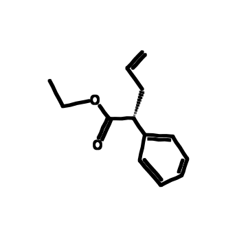 C=CC[C@@H](C(=O)OCC)c1ccccc1